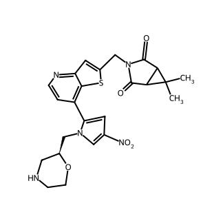 CC1(C)C2C(=O)N(Cc3cc4nccc(-c5cc([N+](=O)[O-])cn5C[C@@H]5CNCCO5)c4s3)C(=O)C21